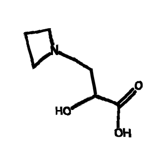 O=C(O)C(O)CN1CCC1